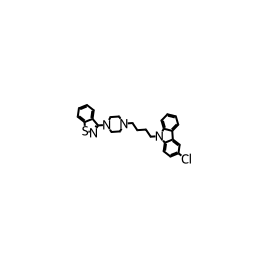 Clc1ccc2c(c1)c1ccccc1n2CCCCN1CCN(c2nsc3ccccc23)CC1